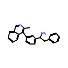 Cc1ncc2ccccc2c1-c1cccc(C(N)Cc2ccccc2)c1